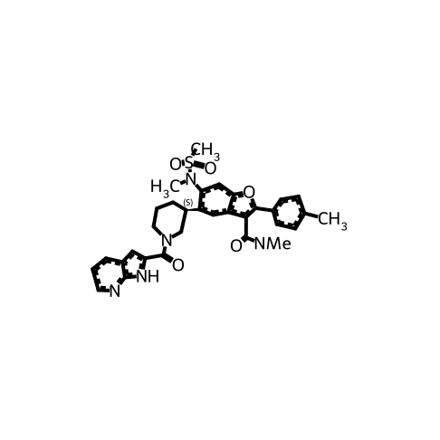 CNC(=O)c1c(-c2ccc(C)cc2)oc2cc(N(C)S(C)(=O)=O)c([C@@H]3CCCN(C(=O)c4cc5cccnc5[nH]4)C3)cc12